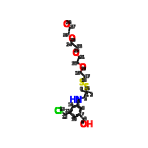 CC(C)(CNc1cc(CO)cc(CCl)c1)SSCCOCCOCCOCC=O